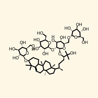 C[C@H](CC[C@@H](O[C@@H]1O[C@H](CO[C@H]2O[C@H](CO)[C@@H](O)[C@H](O)[C@H]2O)[C@@H](O)[C@H](O)[C@H]1O[C@@H]1O[C@H](CO)[C@@H](O)[C@H](O)[C@H]1O)C(C)(C)O)C1CC[C@@]2(C)C3CC=C4C(CC[C@H](O[C@@H]5O[C@H](CO)[C@@H](O)[C@H](O)[C@H]5O)C4(C)C)[C@]3(C)CC[C@]12C